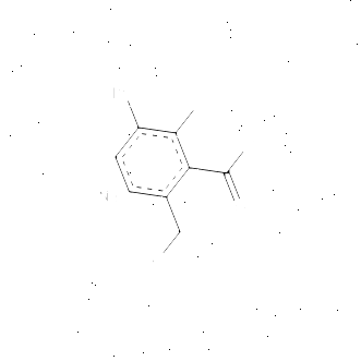 CCc1ccc(Br)c(F)c1C(=O)[O-].[Na+]